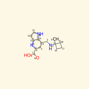 CC1(NCc2cc(C(=O)O)nc3cc[nH]c23)CCC1